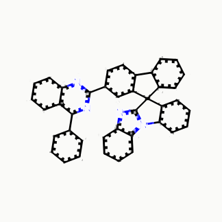 c1ccc(-c2nc(-c3ccc4c(c3)C3(c5ccccc5-4)c4ccccc4-n4c3nc3ccccc34)nc3ccccc23)cc1